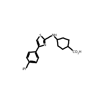 CC(C)c1ccc(-c2csc(NC3CCC(C(=O)O)CC3)n2)cc1